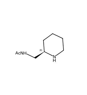 CC(=O)NC[C@H]1CCCCN1